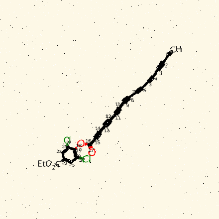 C#CC#CC#CC#CC#CC#CC#CC#CC(=O)Oc1c(Cl)cc(C(=O)OCC)cc1Cl